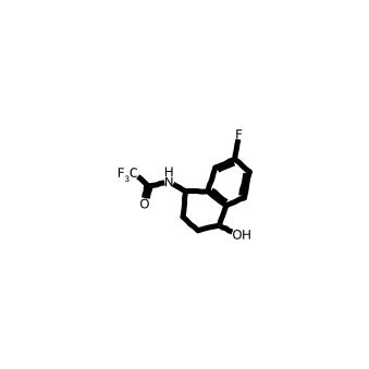 O=C(NC1CCC(O)c2ccc(F)cc21)C(F)(F)F